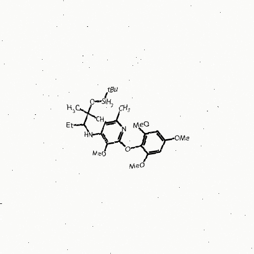 CCC(Nc1cc(C)nc(Oc2c(OC)cc(OC)cc2OC)c1OC)C(C)(C)O[SiH2]C(C)(C)C